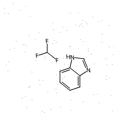 FC(F)F.c1ccc2[nH]cnc2c1